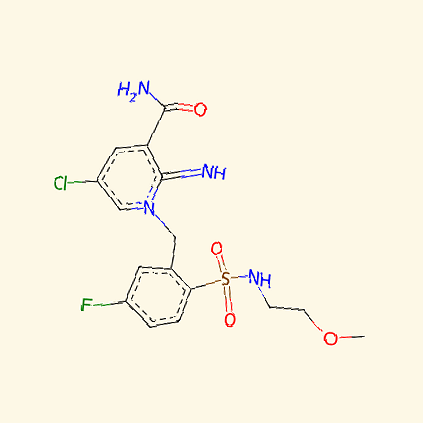 COCCNS(=O)(=O)c1ccc(F)cc1Cn1cc(Cl)cc(C(N)=O)c1=N